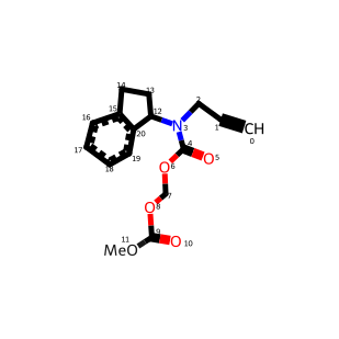 C#CCN(C(=O)OCOC(=O)OC)C1CCc2ccccc21